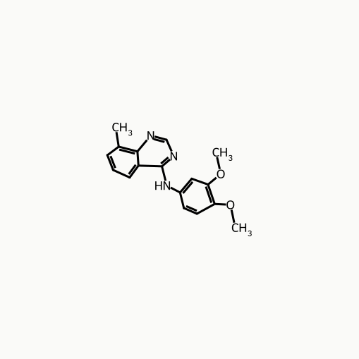 COc1ccc(Nc2ncnc3c(C)cccc23)cc1OC